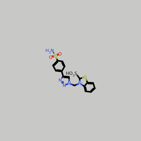 NS(=O)(=O)c1ccc(-c2cn(CN3c4ccccc4SC3S(=O)(=O)O)nn2)cc1